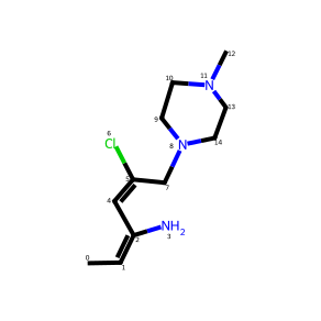 C/C=C(N)\C=C(\Cl)CN1CCN(C)CC1